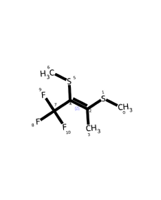 CS/C(C)=C(\SC)C(F)(F)F